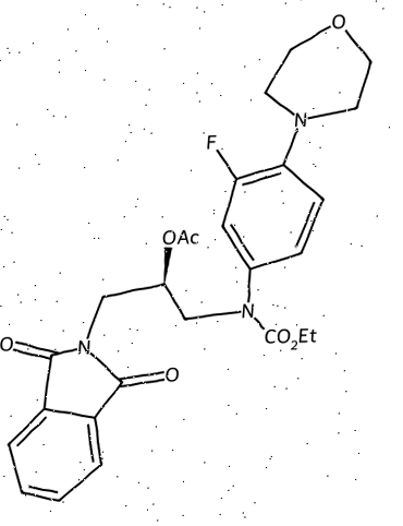 CCOC(=O)N(C[C@@H](CN1C(=O)c2ccccc2C1=O)OC(C)=O)c1ccc(N2CCOCC2)c(F)c1